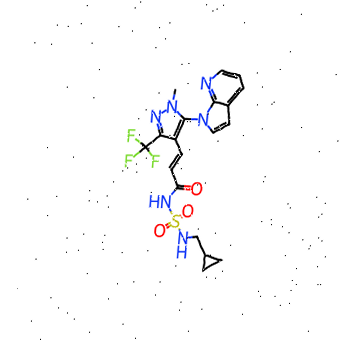 Cn1nc(C(F)(F)F)c(/C=C/C(=O)NS(=O)(=O)NCC2CC2)c1-n1ccc2cccnc21